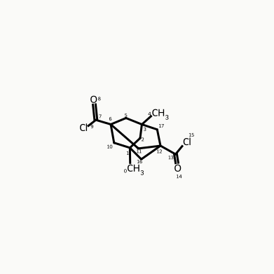 CC12CC3(C)CC(C(=O)Cl)(C1)CC(C(=O)Cl)(C2)C3